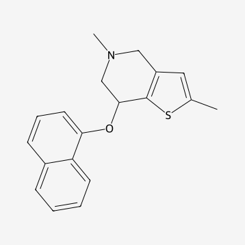 Cc1cc2c(s1)C(Oc1cccc3ccccc13)CN(C)C2